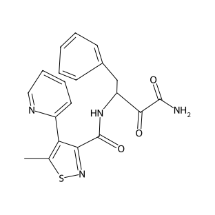 Cc1snc(C(=O)NC(Cc2ccccc2)C(=O)C(N)=O)c1-c1ccccn1